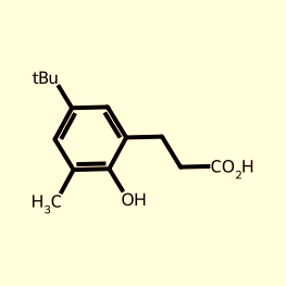 Cc1cc(C(C)(C)C)cc(CCC(=O)O)c1O